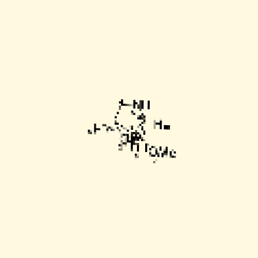 CO[C@@H]1O[C@H]2CN[C@@H]1[C@@H]2O